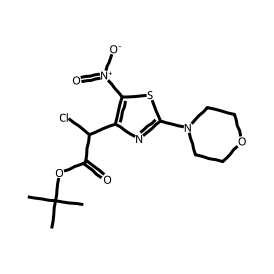 CC(C)(C)OC(=O)C(Cl)c1nc(N2CCOCC2)sc1[N+](=O)[O-]